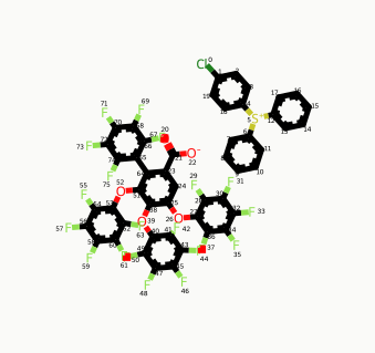 Clc1ccc([S+](c2ccccc2)c2ccccc2)cc1.O=C([O-])c1cc(Oc2c(F)c(F)c(F)c(F)c2F)c(Oc2c(F)c(F)c(F)c(F)c2F)c(Oc2c(F)c(F)c(F)c(F)c2F)c1-c1c(F)c(F)c(F)c(F)c1F